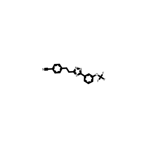 N#Cc1ccc(C[CH]c2nnc(-c3cccc(OC(F)(F)F)c3)s2)cc1